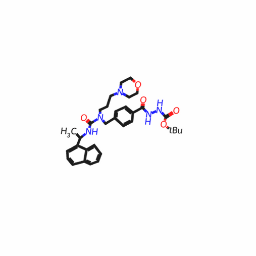 CC(NC(=O)N(CCCN1CCOCC1)Cc1ccc(C(=O)NNC(=O)OC(C)(C)C)cc1)c1cccc2ccccc12